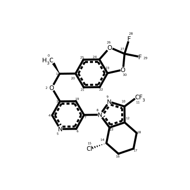 C[C@H](Oc1cncc(-n2nc(C(F)(F)F)c3c2[C@@H](Cl)CCC3)c1)c1ccc2c(c1)OC(F)(F)O2